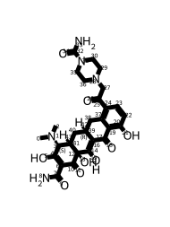 CN(C)[C@@H]1C(O)=C(C(N)=O)C(=O)[C@@]2(O)C(O)=C3C(=O)c4c(O)ccc(C(=O)CN5CCN(C(N)=O)CC5)c4C[C@H]3C[C@@H]12